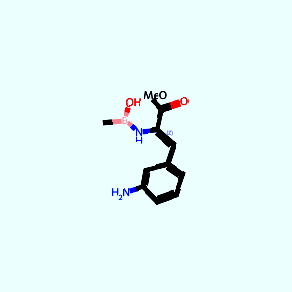 COC(=O)/C(=C/c1cccc(N)c1)NB(C)O